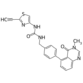 C#Cc1nc(NC(=O)NCc2ccc(-c3cccc4ncn(C)c(=O)c34)cc2)cs1